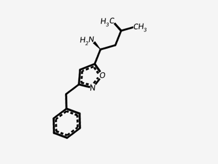 CC(C)C[C@H](N)c1cc(Cc2ccccc2)no1